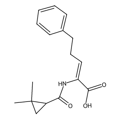 CC1(C)CC1C(=O)N/C(=C\CCc1ccccc1)C(=O)O